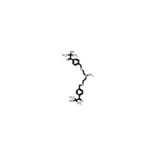 CN(CCOCc1ccc(C(=O)C(C)(C)O)cc1)CCOCc1ccc(C(=O)C(C)(C)O)cc1